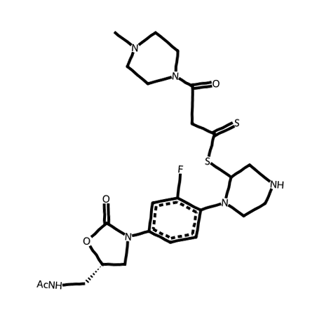 CC(=O)NC[C@H]1CN(c2ccc(N3CCNCC3SC(=S)CC(=O)N3CCN(C)CC3)c(F)c2)C(=O)O1